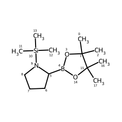 CC1(C)OB(C2CCCN2[Si](C)(C)C)OC1(C)C